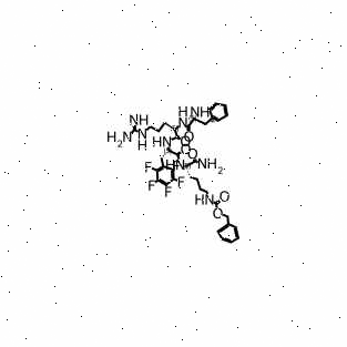 N=C(N)NCCC[C@@H](NC(=O)[C@@H](N)Cc1ccccc1)C(=O)N[C@@H](Cc1c(F)c(F)c(F)c(F)c1F)C(=O)N[C@@H](CCCCNC(=O)OCc1ccccc1)C(N)=O